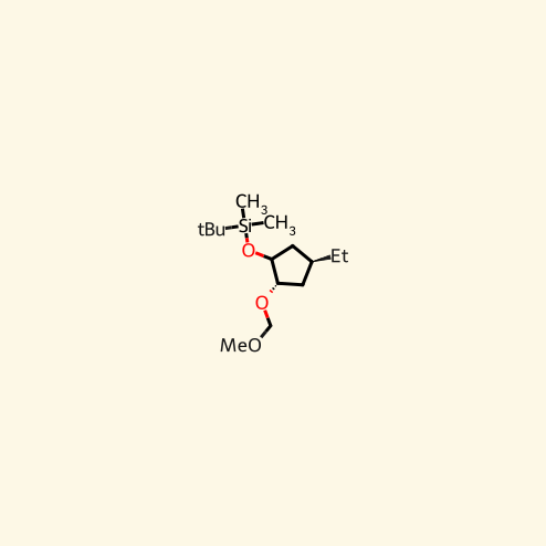 CC[C@@H]1CC(O[Si](C)(C)C(C)(C)C)[C@@H](OCOC)C1